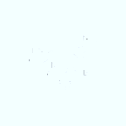 CCc1nc(Cl)c(C(=O)NC)n1Cc1c2ccocc-2c(Br)c1-c1ccc(N)cc1